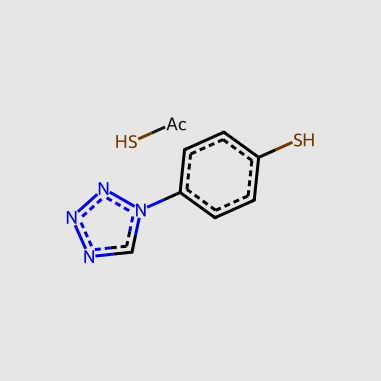 CC(=O)S.Sc1ccc(-n2cnnn2)cc1